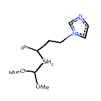 CCCC(CCn1ccnc1)[SiH2]C(OC)OC